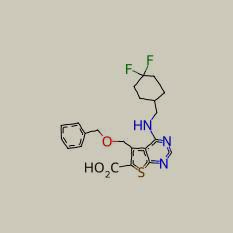 O=C(O)c1sc2ncnc(NCC3CCC(F)(F)CC3)c2c1COCc1ccccc1